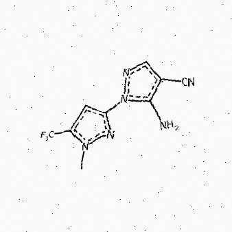 Cn1nc(-n2ncc(C#N)c2N)cc1C(F)(F)F